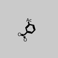 CC(=O)c1cccc(I(=O)=O)c1